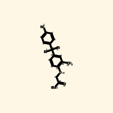 CCC(CC)(c1ccc(C#N)cc1)c1ccc(OCC(=O)C(C)(C)C)c(C)c1